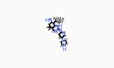 CN/C(=C1\C(=N)CC(C)(C)c2cnc(Nc3ccc(N4CCNCC4)cn3)nc21)C(C)C